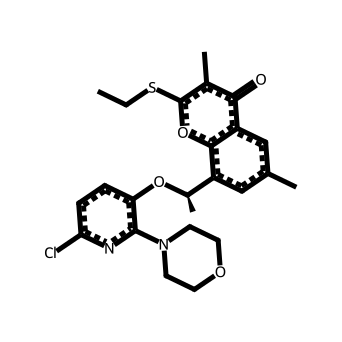 CCSc1oc2c([C@@H](C)Oc3ccc(Cl)nc3N3CCOCC3)cc(C)cc2c(=O)c1C